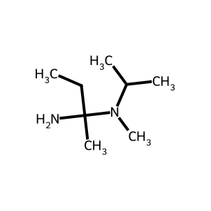 CCC(C)(N)N(C)C(C)C